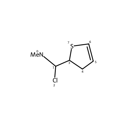 CNC(Cl)C1CC=CS1